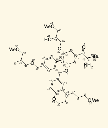 CC[C@H](C)[C@H](N)C(=O)N1C[C@H](OCc2ccc3c(c2)N(CCCOC)CCO3)[C@@H](c2ccc(COCC(C)COC)cc2)[C@H](OCC(O)COC)C1